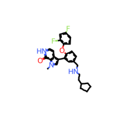 Cn1cc(-c2cc(CNCCC3CCCC3)ccc2Oc2ccc(F)cc2F)c2cc[nH]c(=O)c21